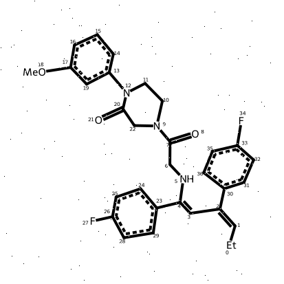 CC/C=C(\C=C(/NCC(=O)N1CCN(c2cccc(OC)c2)C(=O)C1)c1ccc(F)cc1)c1ccc(F)cc1